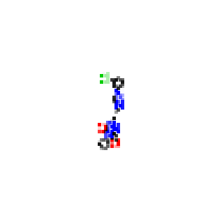 O=c1n(CCCCN2CCN(c3cccc(Cl)c3)CC2)nc2n1-c1ccccc1OC2